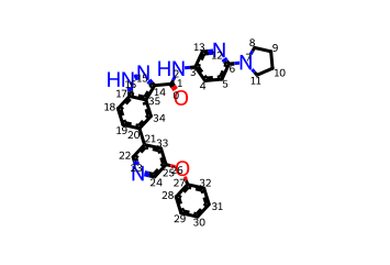 O=C(Nc1ccc(N2CCCC2)nc1)c1n[nH]c2ccc(-c3cncc(Oc4ccccc4)c3)cc12